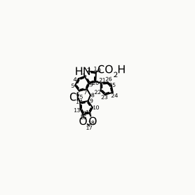 O=C(O)c1[nH]c2cccc(Cc3cc4c(cc3Cl)OCO4)c2c1-c1ccccc1